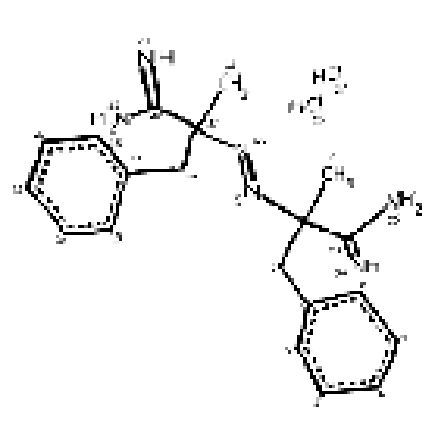 CC(Cc1ccccc1)(N=NC(C)(Cc1ccccc1)C(=N)N)C(=N)N.Cl.Cl